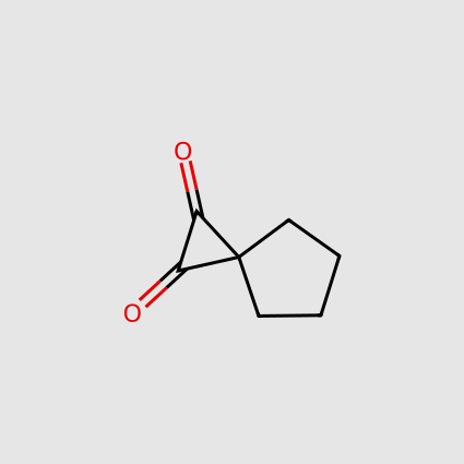 O=C1C(=O)C12CCCC2